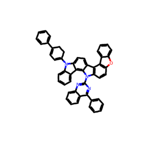 C1=C(c2ccccc2)CCC(n2c3ccccc3c3c2ccc2c4c5c(ccc4n(-c4nc(-c6ccccc6)c6ccccc6n4)c23)oc2ccccc25)=C1